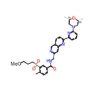 COCCCS(=O)(=O)c1cc(C(=O)NCc2cc3nc(-c4cccc(N5C[C@@H](C)O[C@@H](C)C5)n4)ccc3cn2)ccc1C